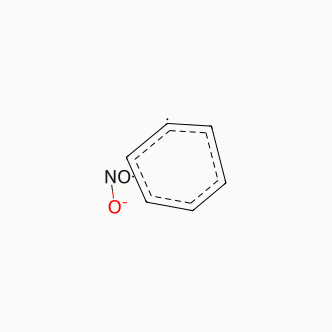 O=[N+][O-].[c]1ccccc1